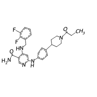 CCC(=O)N1CCC(c2ccc(Nc3cc(NCc4cccc(F)c4F)c(C(N)=O)cn3)cc2)CC1